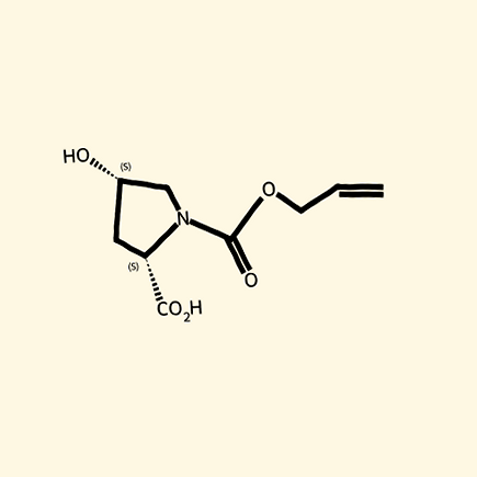 C=CCOC(=O)N1C[C@@H](O)C[C@H]1C(=O)O